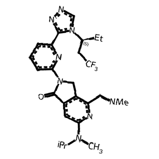 CC[C@@H](CC(F)(F)F)n1cnnc1-c1cccc(N2Cc3c(cc(N(C)C(C)C)nc3CNC)C2=O)n1